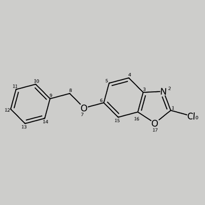 Clc1nc2ccc(OCc3ccccc3)cc2o1